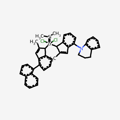 CC1=Cc2c(-c3cccc4ccccc34)cccc2[CH]1[Zr]([Cl])([Cl])([CH]1C(C)=Cc2c1cccc2N1CCCc2ccccc21)=[Si](C)C